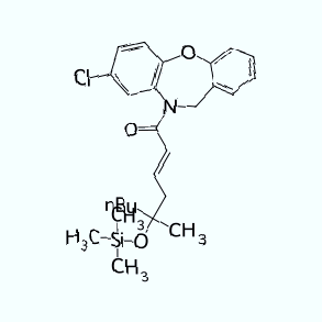 CCCCC(C)(CC=CC(=O)N1Cc2ccccc2Oc2ccc(Cl)cc21)O[Si](C)(C)C